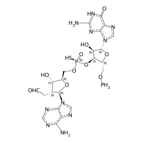 Nc1nc2c(ncn2[C@@H]2O[C@H](COP)[C@@H](O[P@](=O)(S)OC[C@H]3O[C@@H](n4cnc5c(N)ncnc54)[C@H](CC=O)[C@@H]3O)[C@H]2O)c(=O)[nH]1